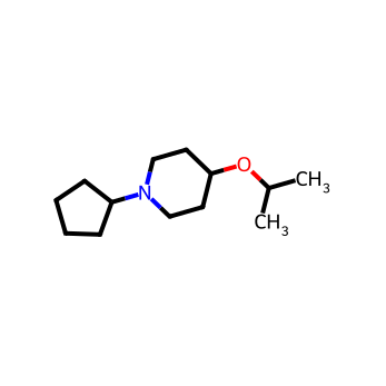 CC(C)OC1CCN(C2CCCC2)CC1